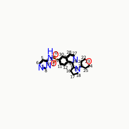 O=S(=O)(Nc1ccncn1)c1ccc2c(C3CCCN3C3CCOCC3)nccc2c1